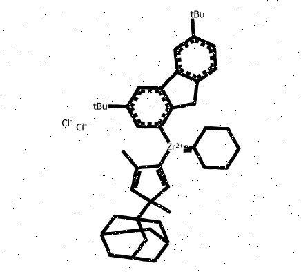 CC1=CC(C)(C23CC4CC(CC(C4)C2)C3)C=[C]1[Zr+2](=[C]1CCCCC1)[c]1cc(C(C)(C)C)cc2c1Cc1ccc(C(C)(C)C)cc1-2.[Cl-].[Cl-]